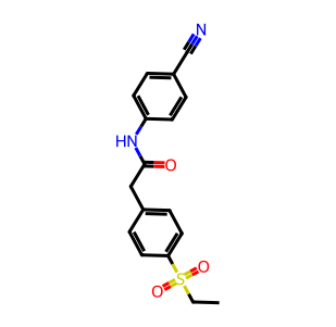 CCS(=O)(=O)c1ccc(CC(=O)Nc2ccc(C#N)cc2)cc1